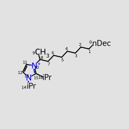 CCCCCCCCCCCCCCCCCC(C)[n+]1ccn(C(C)C)c1C(C)C